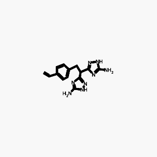 C=Cc1ccc(CC(c2n[nH]c(N)n2)c2n[nH]c(N)n2)cc1